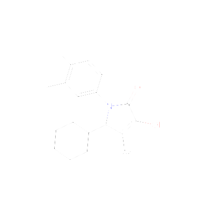 CC(=O)C1=C(O)C(=O)N(c2ccc(C)c(C)c2)C1C1CCCCC1